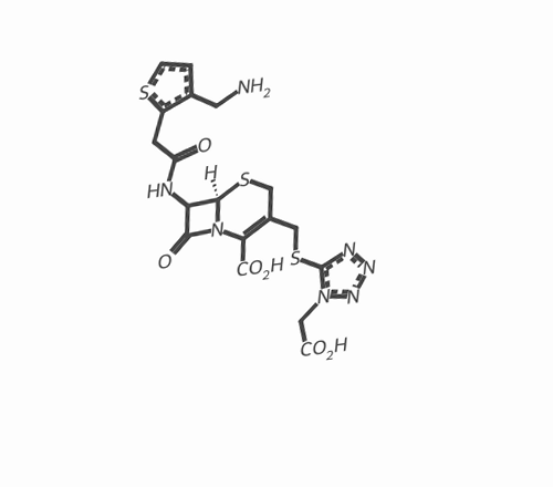 NCc1ccsc1CC(=O)NC1C(=O)N2C(C(=O)O)=C(CSc3nnnn3CC(=O)O)CS[C@H]12